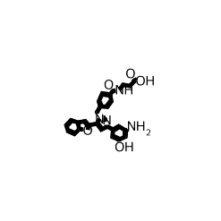 Nc1cc(O)cc(-c2cc(C3=CC4C=CC=CC4O3)n(Cc3ccc(C(=O)NCCC(=O)O)cc3)n2)c1